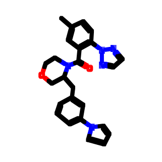 Cc1ccc(-n2nccn2)c(C(=O)N2CCOCC2Cc2cccc(-n3cccc3)c2)c1